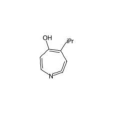 CC(C)C1=C(O)C=CN=C=C1